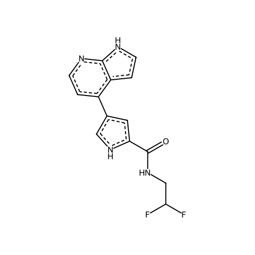 O=C(NCC(F)F)c1cc(-c2ccnc3[nH]ccc23)c[nH]1